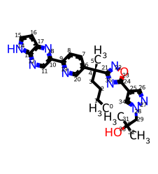 CCCC[C@](C)(c1ccc(-c2cnc3[nH]ccc3n2)nc1)c1noc(-c2cnn(CC(C)(C)O)c2)n1